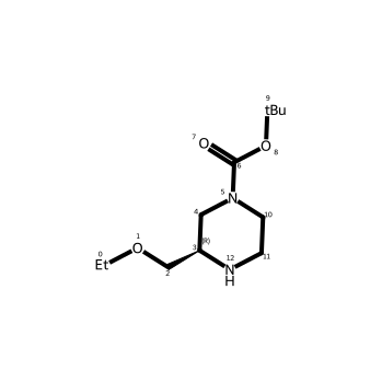 CCOC[C@H]1CN(C(=O)OC(C)(C)C)CCN1